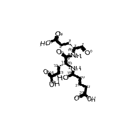 O=C[C@@H](CCC(=O)O)NC(=O)[C@@H](CCC(=O)O)NC(O)CCCC(=O)O